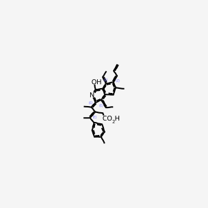 C=C/C=c1/c(C)cc2c(=C\C)/c(=C(C)\C(CC(=O)O)=C(/C)c3ccc(C)cc3)nc(O)c2/c1=C/C